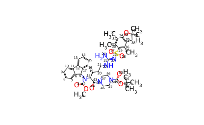 COC(=O)N(C1c2ccccc2-c2ccccc21)[C@@H](CCCN/C(N)=N/S(=O)(=O)c1c(C)c(C)c2c(c1C)CC(C)(C)O2)C(=O)N1CCN(C(=O)OC(C)(C)C)CC1